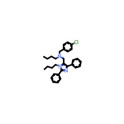 CCCCN(Cc1ccc(Cl)cc1)Cc1c(-c2ccccc2)nc(-c2ccccc2)n1CCCC